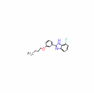 CCCCOc1cccc(-c2nc3cccc(F)c3[nH]2)c1